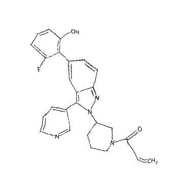 C=CC(=O)N1CCCC(n2nc3ccc(-c4c(O)cccc4F)cc3c2-c2cccnc2)C1